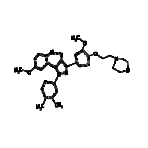 COc1ccc2ncc3c(-c4ccc(OCCN5CCOCC5)c(OC)c4)nn(-c4ccc(C)c(C)c4)c3c2c1